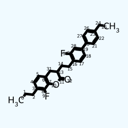 CCCc1ccc2c(c1F)OC(=O)C(CCc1ccc(-c3ccc(CC)cc3)cc1F)C2